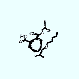 CC(O)COC(=O)c1ccccc1C(=O)O.CCCCCOC=C(C)C